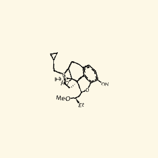 CC[C@@H](OC)[C@@H]1Oc2c(O)ccc3c2[C@@]12CCN(CC1CC1)C(C3)[C@@]2(C)O